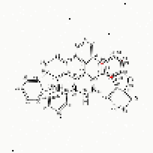 c1ccc(-c2ccccc2C2=C(c3cccc4c3[nH]c3ccccc34)N(c3ccccc3)NN=C2c2cccc3oc4ccccc4c23)cc1